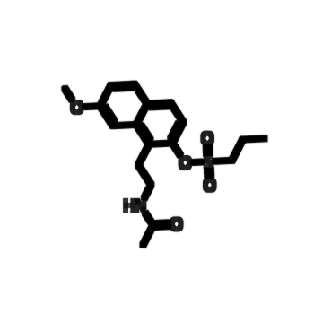 CCCS(=O)(=O)Oc1ccc2ccc(OC)cc2c1CCNC(C)=O